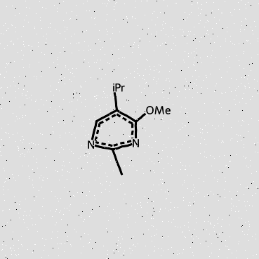 [CH2]Oc1nc(C)ncc1C(C)C